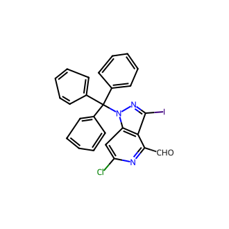 O=Cc1nc(Cl)cc2c1c(I)nn2C(c1ccccc1)(c1ccccc1)c1ccccc1